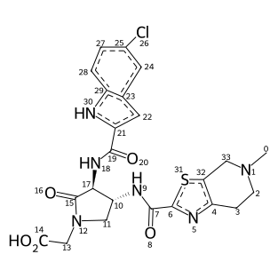 CN1CCc2nc(C(=O)N[C@@H]3CN(CC(=O)O)C(=O)[C@H]3NC(=O)c3cc4cc(Cl)ccc4[nH]3)sc2C1